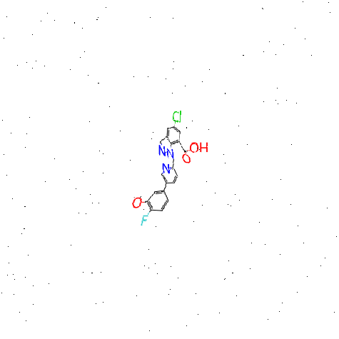 COc1cc(-c2ccc(Cn3ncc4cc(Cl)cc(C(=O)O)c43)nc2)ccc1F